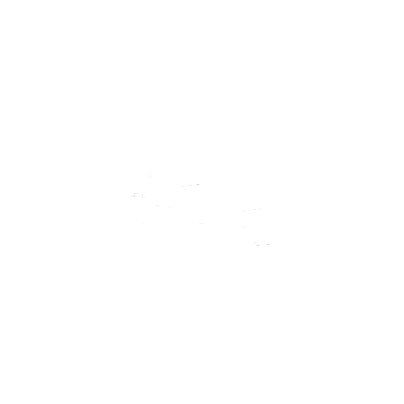 O=C(Cl)C(=O)c1ccc(Oc2ccccc2)cc1